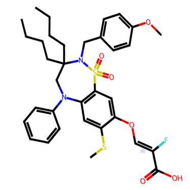 CCCCC1(CCCC)CN(c2ccccc2)c2cc(SC)c(O/C=C(\F)C(=O)O)cc2S(=O)(=O)N1Cc1ccc(OC)cc1